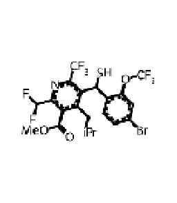 COC(=O)c1c(C(F)F)nc(C(F)(F)F)c(C(S)c2ccc(Br)cc2OC(F)(F)F)c1CC(C)C